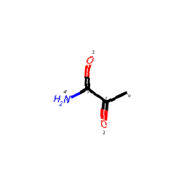 CC(=O)C(N)=O